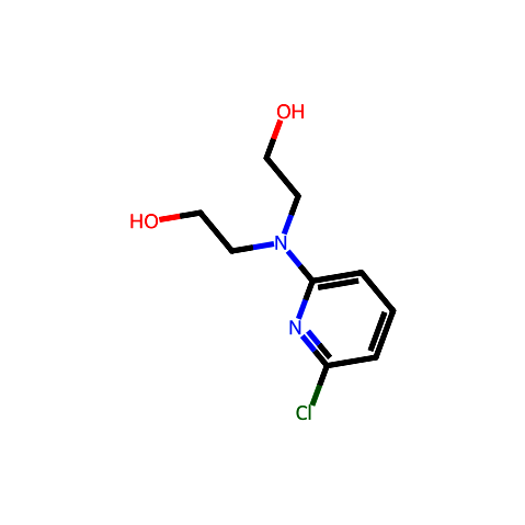 OCCN(CCO)c1cccc(Cl)n1